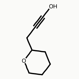 OC#CCC1CCCCO1